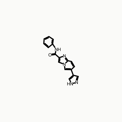 O=C(Nc1ccccc1)c1cn2cc(-c3cn[nH]c3)ccc2n1